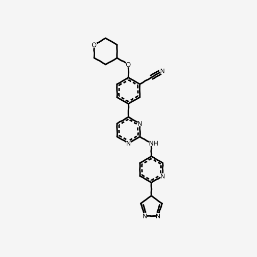 N#Cc1cc(-c2ccnc(Nc3ccc(C4C=NN=C4)nc3)n2)ccc1OC1CCOCC1